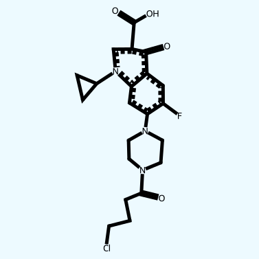 O=C(O)c1cn(C2CC2)c2cc(N3CCN(C(=O)CCCCl)CC3)c(F)cc2c1=O